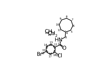 O=C(NC[C]1CCCCCCC1)c1ccc(Br)cc1Cl.[CH2].[CH2]